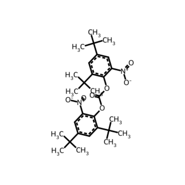 CC(C)(C)c1cc([N+](=O)[O-])c(OC(=O)Oc2c([N+](=O)[O-])cc(C(C)(C)C)cc2C(C)(C)C)c(C(C)(C)C)c1